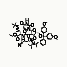 CCOC(=O)[C@H](CSSC(C)(C)C)NC(=O)O[C@@H]1[C@H](OP(OCCC#N)N(C(C)C)C(C)C)[C@@H](COC(c2ccccc2)(c2ccc(OC)cc2)c2ccc(OC)cc2)O[C@H]1n1ccc(=O)[nH]c1=O